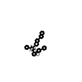 C1=CC(c2nc(-c3ccccc3)nc(-c3cccc4oc5cc(-c6ccccc6)ccc5c34)n2)Cc2ccc(-c3ccc4ccccc4c3)cc21